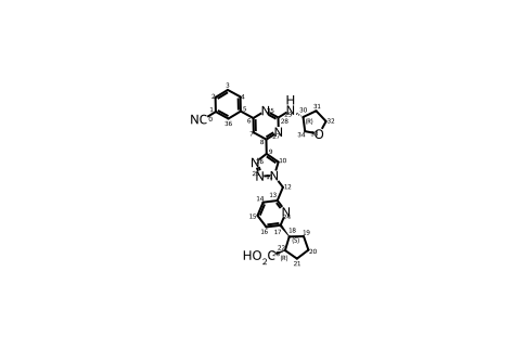 N#Cc1cccc(-c2cc(-c3cn(Cc4cccc([C@H]5CCC[C@H]5C(=O)O)n4)nn3)nc(N[C@@H]3CCOC3)n2)c1